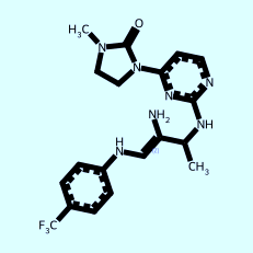 CC(Nc1nccc(N2CCN(C)C2=O)n1)/C(N)=C/Nc1ccc(C(F)(F)F)cc1